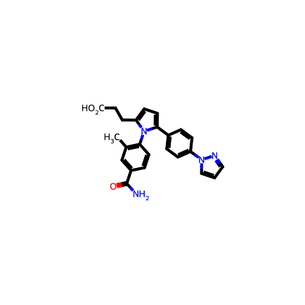 Cc1cc(C(N)=O)ccc1-n1c(CCC(=O)O)ccc1-c1ccc(-n2cccn2)cc1